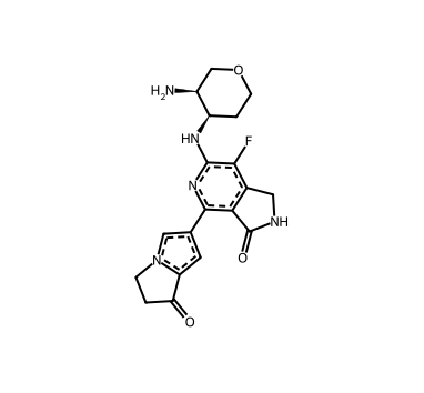 N[C@H]1COCC[C@H]1Nc1nc(-c2cc3n(c2)CCC3=O)c2c(c1F)CNC2=O